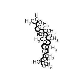 CC[C@@H](C(=O)O)C1CC[C@H](C)[C@H]([C@@H](C)[C@H](O)[C@H](C)C(=O)[C@H](CC)[C@H]2O[C@]3(C=CC[C@]4(CC[C@@](C)(CCC[C@](O)(CC)[C@H](C)O)O4)O3)[C@H](C)C[C@@H]2C)O1